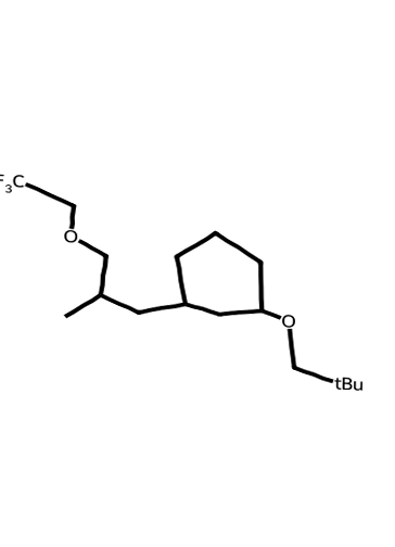 CC(COCC(F)(F)F)CC1CCCC(OCC(C)(C)C)C1